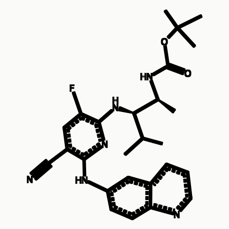 CC(C)[C@@H](Nc1nc(Nc2ccc3ncccc3c2)c(C#N)cc1F)[C@H](C)NC(=O)OC(C)(C)C